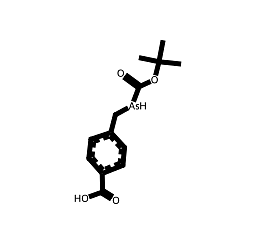 CC(C)(C)OC(=O)[AsH]Cc1ccc(C(=O)O)cc1